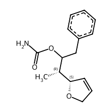 C[C@H](C(Cc1ccccc1)OC(N)=O)[C@@H]1C=CCO1